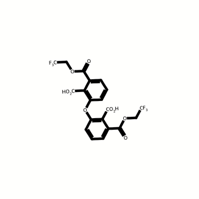 O=C(OCC(F)(F)F)c1cccc(Oc2cccc(C(=O)OCC(F)(F)F)c2C(=O)O)c1C(=O)O